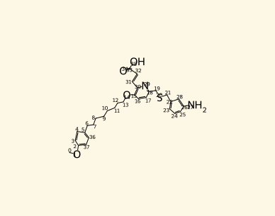 COc1ccc(CCCCCCCCOc2ccc(CSCc3cccc(N)c3)nc2C=CC(=O)O)cc1